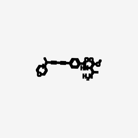 COC(=O)C(NC(=O)c1ccc(C#CC#C[C@H](C)N2CCOCC2)cc1)C(C)N